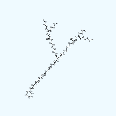 CCCCCCC(CCCC)COC(=O)CCCCCCCOCC(COCCOOCCOOCCOOCCOCc1ccccc1)OCCCCCCCC(=O)OCC(CCCCC)CCCCC